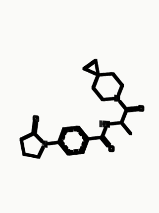 CC(NC(=O)c1ccc(N2CCCC2=O)cc1)C(=O)N1CCC2(CC1)CC2